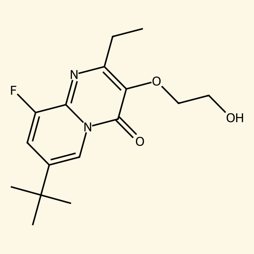 CCc1nc2c(F)cc(C(C)(C)C)cn2c(=O)c1OCCO